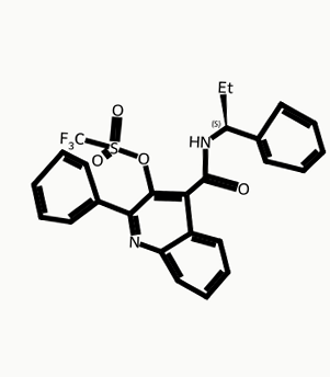 CC[C@H](NC(=O)c1c(OS(=O)(=O)C(F)(F)F)c(-c2ccccc2)nc2ccccc12)c1ccccc1